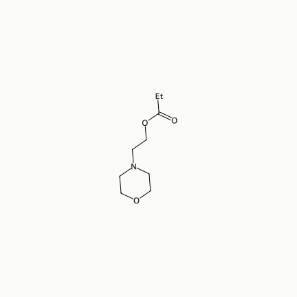 CCC(=O)OCCN1CCOCC1